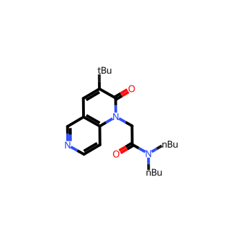 CCCCN(CCCC)C(=O)Cn1c(=O)c(C(C)(C)C)cc2cnccc21